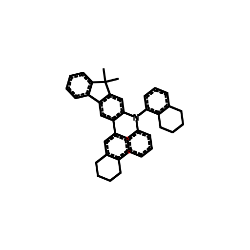 CC1(C)c2ccccc2-c2cc(-c3ccc4c(c3)CCCC4)c(N(c3ccccc3)c3cccc4c3CCCC4)cc21